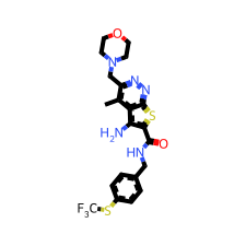 Cc1c(CN2CCOCC2)nnc2sc(C(=O)NCc3ccc(SC(F)(F)F)cc3)c(N)c12